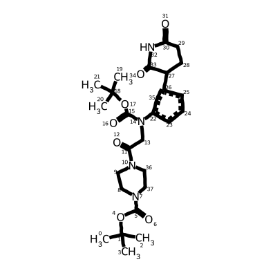 CC(C)(C)OC(=O)N1CCN(C(=O)CN(C(=O)OC(C)(C)C)c2cccc(C3CCC(=O)NC3=O)c2)CC1